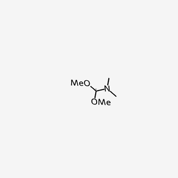 CO[C](OC)N(C)C